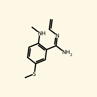 C=C/N=C(/N)c1cc(SC)ccc1NC